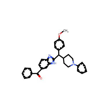 COc1ccc(C(c2nc3ccc(C(=O)c4ccccc4)cc3[nH]2)C2CCN(c3ccccc3)CC2)cc1